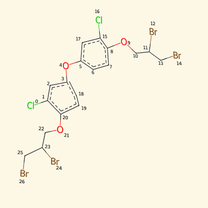 Clc1cc(Oc2ccc(OCC(Br)CBr)c(Cl)c2)ccc1OCC(Br)CBr